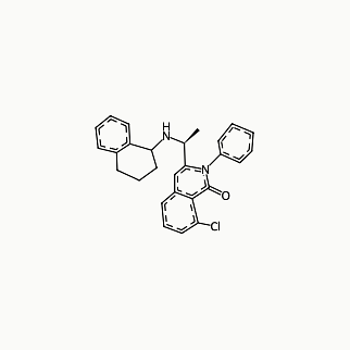 C[C@H](NC1CCCc2ccccc21)c1cc2cccc(Cl)c2c(=O)n1-c1ccccc1